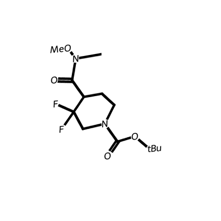 CON(C)C(=O)C1CCN(C(=O)OC(C)(C)C)CC1(F)F